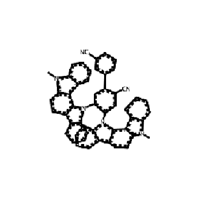 Cn1c2ccccc2c2c1ccc1c3ccccc3n(-c3cc(C#N)c(-c4cccc(C#N)c4)cc3-n3c4ccccc4c4ccc5c(c6ccccc6n5C)c43)c12